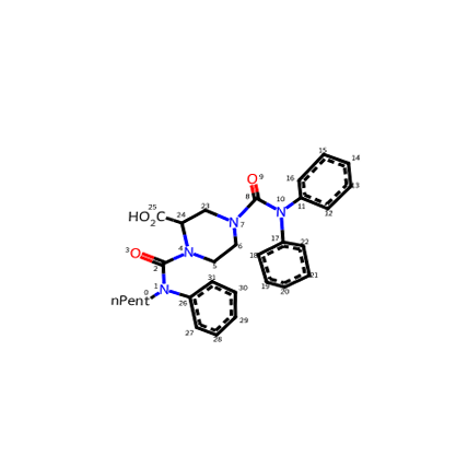 CCCCCN(C(=O)N1CCN(C(=O)N(c2ccccc2)c2ccccc2)CC1C(=O)O)c1ccccc1